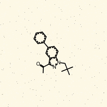 CC(=O)c1nn(CC(C)(C)C)c2ccc(-c3ccccc3)cc12